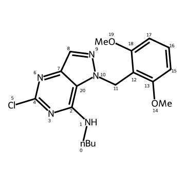 CCCCNc1nc(Cl)nc2cnn(Cc3c(OC)cccc3OC)c12